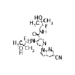 CC(C)(O)C(F)CNC(=O)c1cnc(-n2ccc3cc(C#N)cnc32)cc1NCC(F)C(C)(C)O